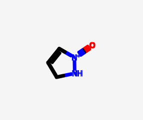 O=[N+]1C=CCN1